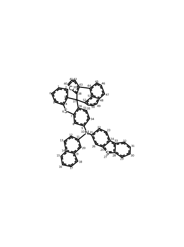 c1ccc2c(c1)Sc1cc(N(c3ccc4ccccc4c3)c3ccc4c(c3)sc3ccccc34)ccc1C21c2ccccc2-c2cccc3cccc1c23